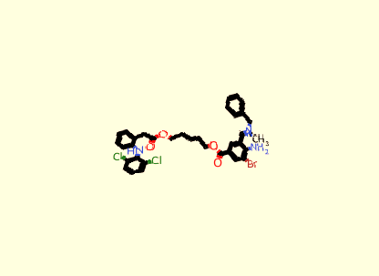 CN(Cc1ccccc1)Cc1cc(C(=O)OCCCCCOC(=O)Cc2ccccc2Nc2c(Cl)cccc2Cl)cc(Br)c1N